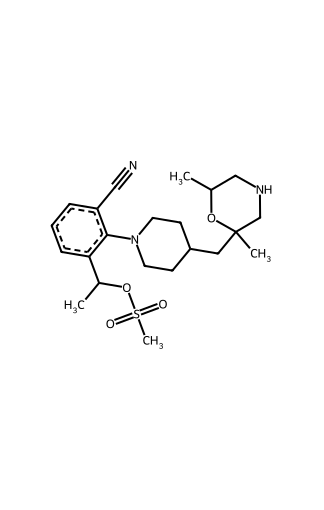 CC1CNCC(C)(CC2CCN(c3c(C#N)cccc3C(C)OS(C)(=O)=O)CC2)O1